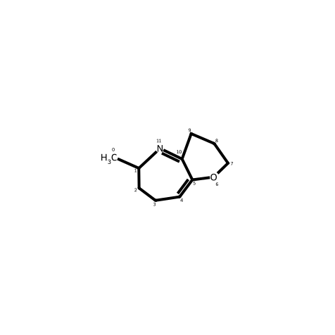 CC1CCC=C2OCCCC2=N1